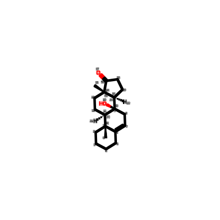 C[C@]12CCCCC1=CC[C@]1(O)[C@@H]2CC[C@]2(C)C(=O)CC[C@@H]12